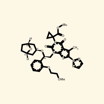 COCCOc1ccccc1[C@H](Cn1c(=O)n(C2(C(=O)OC(C)(C)C)CC2)c(=O)c2c(C)c(-n3nccn3)sc21)O[C@@H]1C[C@H]2CC[C@@H](C1)O2